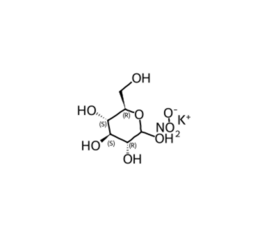 O=[N+]([O-])[O-].OC[C@H]1OC(O)[C@H](O)[C@@H](O)[C@@H]1O.[K+]